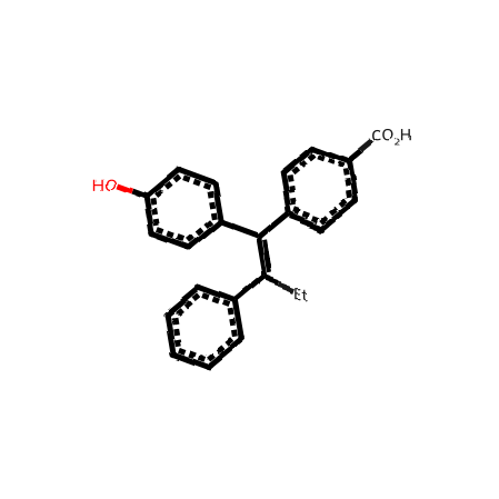 CCC(=C(c1ccc(O)cc1)c1ccc(C(=O)O)cc1)c1ccccc1